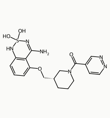 NC1=NS(O)(O)Nc2cccc(OC[C@H]3CCCN(C(=O)c4ccnnc4)C3)c21